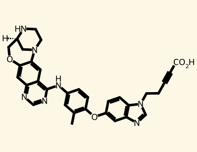 Cc1cc(Nc2ncnc3cc4c(cc23)N2CCN[C@H](CO4)C2)ccc1Oc1ccc2c(c1)ncn2CCC#CC(=O)O